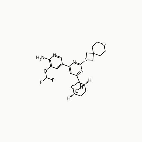 Nc1ncc(-c2cc(N3C[C@@H]4CC[C@H]3CO4)nc(N3CC4(CCOCC4)C3)n2)cc1OC(F)F